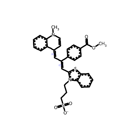 COC(=O)c1ccc(C(=C\c2sc3ccccc3[n+]2CCCS(=O)(=O)[O-])/C=C2\C=CN(C)c3ccccc32)cc1